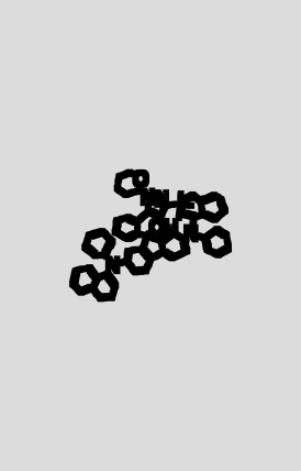 CC(C)(C)c1cc(-c2ccccc2C2(O)c3cc(N(c4ccccc4)c4cccc5ccccc45)ccc3-c3ccc(N(c4ccccc4)c4cccc5ccccc45)cc32)n(C2CCCCO2)n1